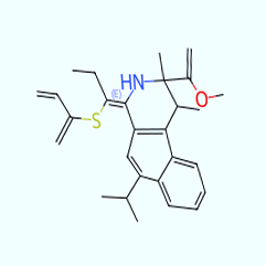 C=CC(=C)S/C(CC)=C1/NC(C)(C(=C)OC)C(C)c2c1cc(C(C)C)c1ccccc21